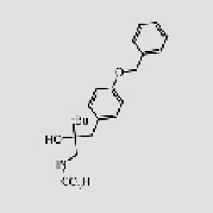 CC(C)(C)C(O)(CNC(=O)O)Cc1ccc(OCc2ccccc2)cc1